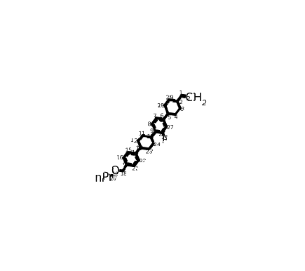 C=CC1CCC(c2ccc(C3CCC(c4ccc(COCCC)cc4)CC3)c(F)c2)CC1